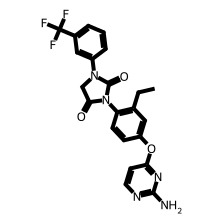 CCc1cc(Oc2ccnc(N)n2)ccc1N1C(=O)CN(c2cccc(C(F)(F)F)c2)C1=O